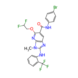 Cn1c(Nc2ccccc2C(F)(F)F)nc2cc(C(=O)Nc3ccc(Br)cc3)c(OCC(F)F)nc21